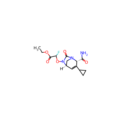 CCOC(=O)[C@@H](F)ON1C(=O)N2C[C@H]1C=C(C1CC1)[C@H]2C(N)=O